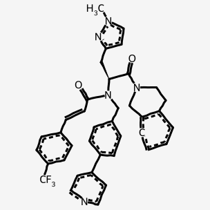 Cn1ccc(C[C@@H](C(=O)N2CCc3ccccc3C2)N(Cc2ccc(-c3ccncc3)cc2)C(=O)C=Cc2ccc(C(F)(F)F)cc2)n1